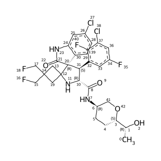 C[C@@H](O)[C@@H]1CC[C@@H](NC(=O)[C@@H]2NC3(CC(CF)(CF)C3)[C@@]3(C(=O)Nc4cc(Cl)ccc43)[C@H]2c2cc(F)cc(Cl)c2F)CO1